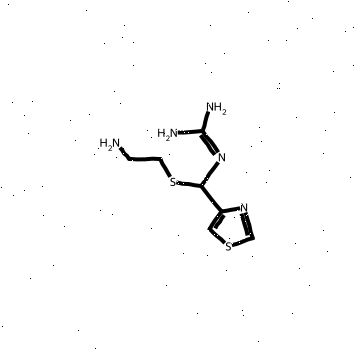 NCCSC(N=C(N)N)c1cscn1